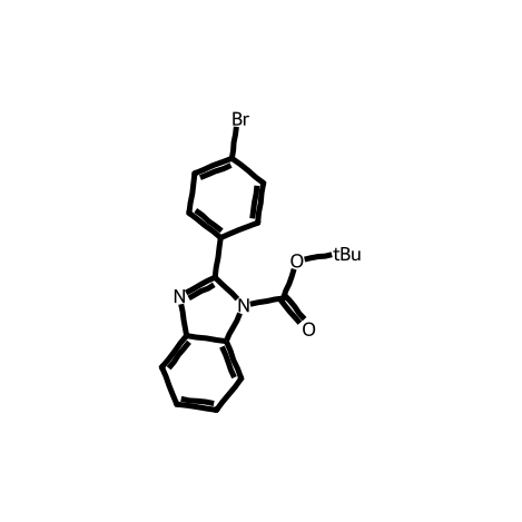 CC(C)(C)OC(=O)n1c(-c2ccc(Br)cc2)nc2ccccc21